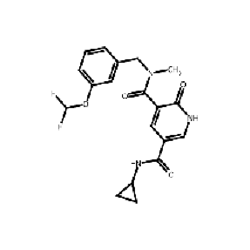 CN(Cc1cccc(OC(F)F)c1)C(=O)c1cc(C(=O)NC2CC2)c[nH]c1=O